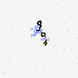 N=C/N=C(/N)c1[nH]c([C@H]2CC[C@H](CNC(=O)c3ccsc3)CC2)nc1-c1cc2ccccc2[nH]1